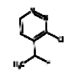 CC(F)c1c[c]nnc1Cl